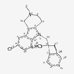 CN1CCc2c(c3cc(Cl)cnc3n2CC2(O)Cc3cnccc32)C1